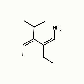 C/C=C(\C(=C/N)CC)C(C)C